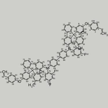 C=Cc1ccc(Oc2ccc(C3(c4cc(C)ccc4C)c4ccccc4-c4ccc(N(c5ccc(-c6ccc(N(c7ccc8c(c7)C(c7ccc(Oc9ccc(C=C)cc9)cc7)(c7cc(C)ccc7C)c7ccccc7-8)c7ccc(F)cc7F)cc6)cc5)c5ccc(F)cc5F)cc43)cc2)cc1